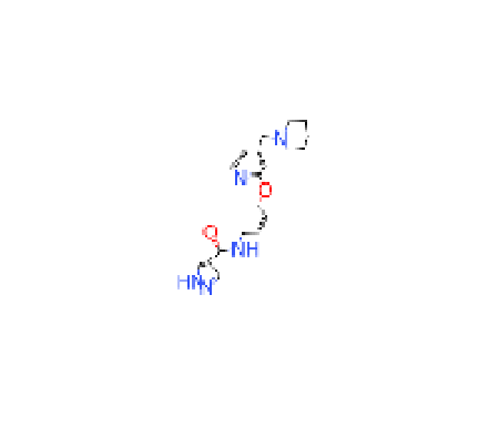 O=C(NC/C=C\COc1cc(CN2CCCCC2)ccn1)c1cn[nH]c1